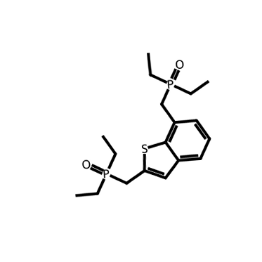 CCP(=O)(CC)Cc1cc2cccc(CP(=O)(CC)CC)c2s1